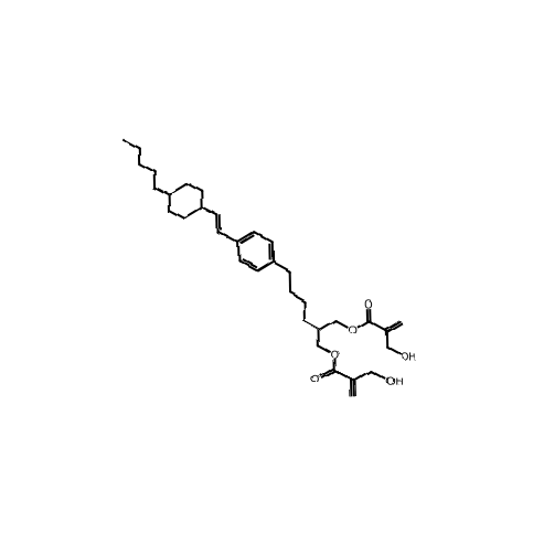 C=C(CO)C(=O)OCC(CCCCc1ccc(/C=C/C2CCC(CCCCC)CC2)cc1)COC(=O)C(=C)CO